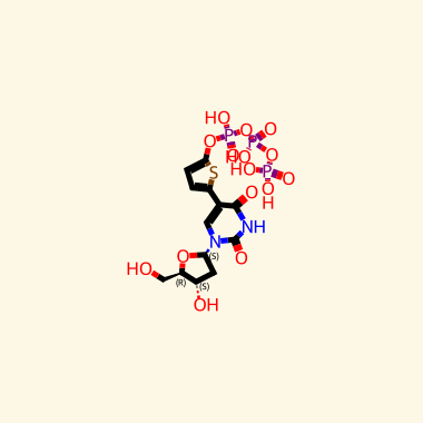 O=c1[nH]c(=O)n([C@@H]2C[C@H](O)[C@@H](CO)O2)cc1-c1ccc(OP(=O)(O)OP(=O)(O)OP(=O)(O)O)s1